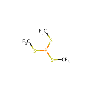 FC(F)(F)SP(SC(F)(F)F)SC(F)(F)F